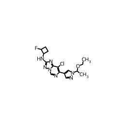 CCOC(C)n1cc(-c2ncn3nc(NC4CCC4F)nc3c2Cl)cn1